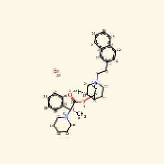 C[C@@](C(=O)O[C@H]1C[N+]2(CCc3ccc4ccccc4c3)CCC1CC2)(c1ccccc1)N1CCCCC1.[Br-]